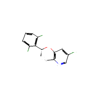 C[C@H](Oc1cc(Br)cnc1[N+](=O)[O-])c1c(F)cccc1F